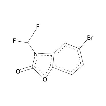 O=c1oc2ccc(Br)cc2n1C(F)F